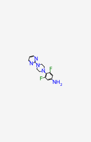 Nc1cc(F)c(N2CCN(c3ncccn3)CC2)c(F)c1